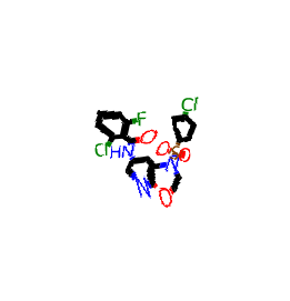 O=C(Nc1cnc2c(c1)N(S(=O)(=O)c1ccc(Cl)cc1)CCO2)c1c(F)cccc1Cl